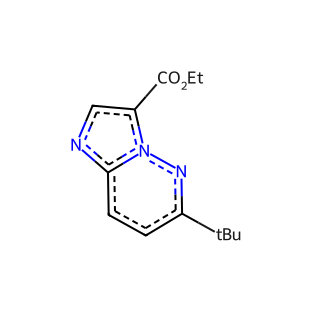 CCOC(=O)c1cnc2ccc(C(C)(C)C)nn12